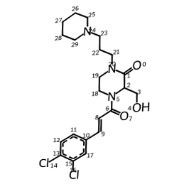 O=C1C(CO)N(C(=O)C=Cc2ccc(Cl)c(Cl)c2)CCN1CCCN1CCCCC1